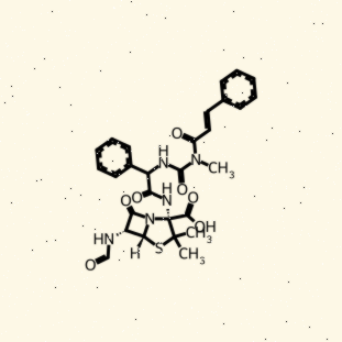 CN(C(=O)C=Cc1ccccc1)C(=O)NC(C(=O)N[C@@]1(C(=O)O)N2C(=O)[C@@H](NC=O)[C@H]2SC1(C)C)c1ccccc1